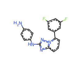 Nc1ccc(Nc2nc3cccc(-c4cc(F)cc(F)c4)n3n2)cc1